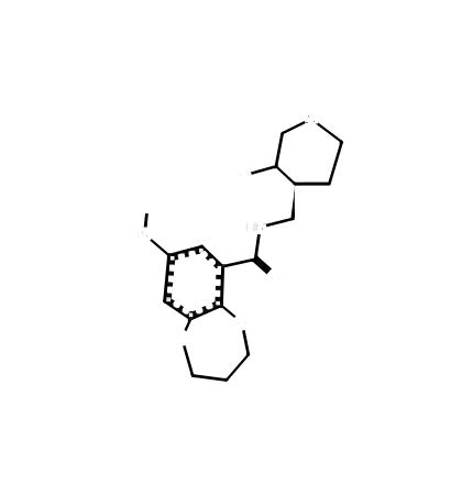 CC(C)Nc1cc2c(c(C(=O)NC[C@@H]3CCNCC3O)c1)OCCCO2